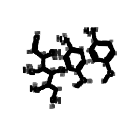 COc1ccc(N)cc1.COc1ccc(N)cc1.O=CC(O)C(O)C(O)C(O)CO